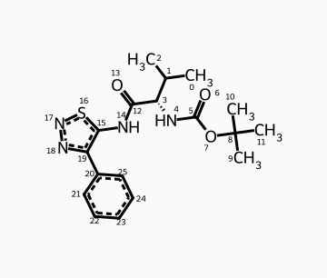 CC(C)[C@H](NC(=O)OC(C)(C)C)C(=O)Nc1snnc1-c1ccccc1